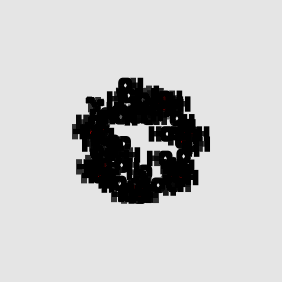 CN(C)C.O=P(O)(O)OC[C@H]1O[C@@H]2O[C@H]3[C@H](O)[C@@H](O)[C@@H](O[C@H]4[C@H](O)[C@@H](O)[C@@H](O[C@H]5[C@H](O)[C@@H](O)[C@@H](O[C@H]6[C@H](O)[C@@H](O)[C@@H](O[C@H]7[C@H](O)[C@@H](O)[C@@H](O[C@H]8[C@H](O)[C@@H](O)[C@@H](O[C@H]1[C@H](O)[C@H]2O)O[C@@H]8CO)O[C@@H]7CO)O[C@@H]6CO)O[C@@H]5CO)O[C@@H]4CO)O[C@@H]3CO